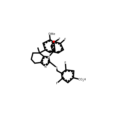 COc1cc(C2(C)CCCc3nc(SCc4c(F)cc(C(=O)O)cc4F)n(-c4ccc(F)cc4)c32)ccc1F